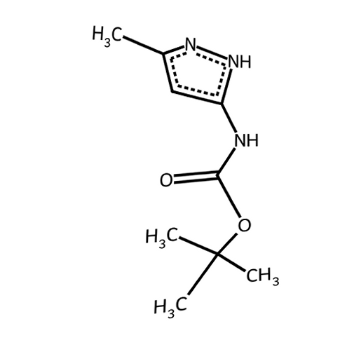 Cc1cc(NC(=O)OC(C)(C)C)[nH]n1